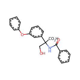 O=C(NC(CO)(C(=O)O)c1cccc(Oc2ccccc2)c1)c1ccccc1